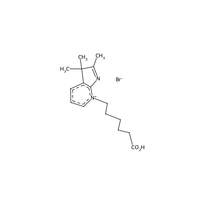 CC1=Nc2c(ccc[n+]2CCCCCC(=O)O)C1(C)C.[Br-]